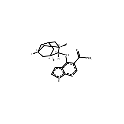 NC(=O)c1cnc2[nH]ccc2c1N[C@@H]1[C@@H]2CC3C[C@H]1C[C@@](F)(C3)C2